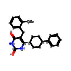 COc1ccccc1Cc1c(=O)[nH]c(=O)[nH]c1[C@H]1CC[C@H](c2ccccc2)CC1